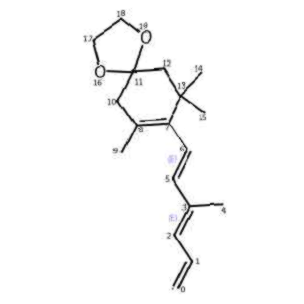 [CH]=C/C=C(C)/C=C/C1=C(C)CC2(CC1(C)C)OCCO2